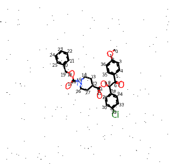 COc1ccc(C(=O)C(OC(=O)C2CCN(C(=O)OCc3ccccc3)CC2)c2ccc(Cl)cc2)cc1